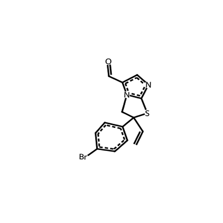 C=CC1(c2ccc(Br)cc2)Cn2c(C=O)cnc2S1